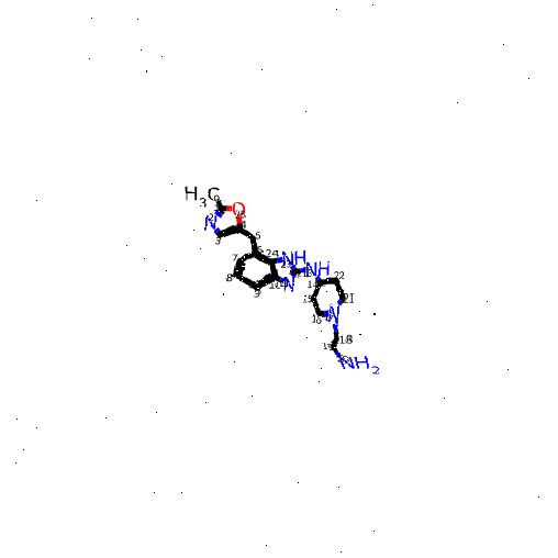 Cc1ncc(Cc2cccc3nc(NC4CCN(CCN)CC4)[nH]c23)o1